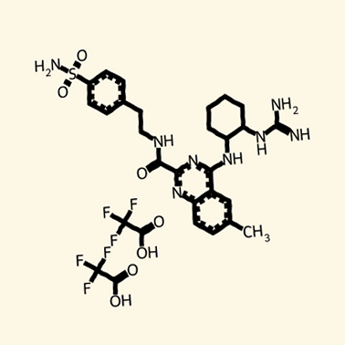 Cc1ccc2nc(C(=O)NCCc3ccc(S(N)(=O)=O)cc3)nc(NC3CCCCC3NC(=N)N)c2c1.O=C(O)C(F)(F)F.O=C(O)C(F)(F)F